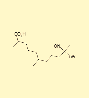 CCCC(C)(CCCC(C)CCCC(C)C(=O)O)N=O